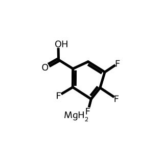 O=C(O)c1cc(F)c(F)c(F)c1F.[MgH2]